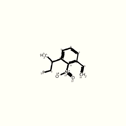 [CH2]C(CF)c1cccc(C=C)c1[N+](=O)[O-]